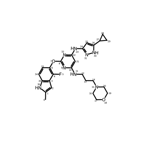 Cc1cc2c(F)c(Oc3nc(NCCCN4CCOCC4)cc(Nc4cc(C5CC5)[nH]n4)n3)ccc2[nH]1